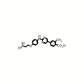 CCN(CC)CCOc1ccc(Nc2ncc(-c3ccc(C(=O)O)c(C)c3)cn2)cc1